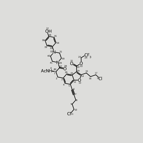 CC(=O)N[C@H](Cc1cc(C#CCCCCl)c2oc(CCCCl)c(C(=O)OCC(F)(F)F)c2c1)C(=O)N1CCN(c2ccc(O)cc2)CC1